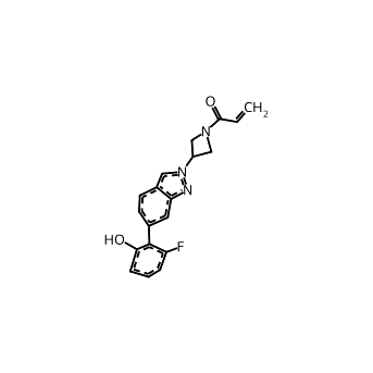 C=CC(=O)N1CC(n2cc3ccc(-c4c(O)cccc4F)cc3n2)C1